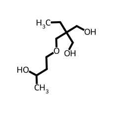 CCC(CO)(CO)COCCC(C)O